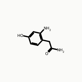 NC(=O)Cc1ccc(O)cc1N